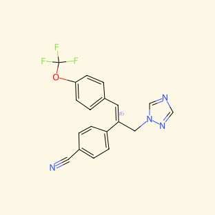 N#Cc1ccc(/C(=C\c2ccc(OC(F)(F)F)cc2)Cn2cncn2)cc1